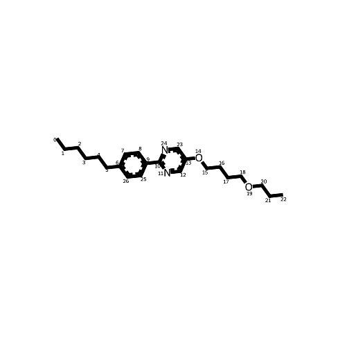 CCCCCCc1ccc(-c2ncc(OCCCCOCCC)cn2)cc1